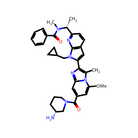 COc1cc(C(=O)N2CCC[C@@H](N)C2)cc2nc(-c3cc4ccc([C@@H](C)N(C)C(=O)c5ccccc5)nc4n3CC3CC3)c(C)n12